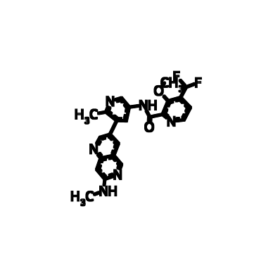 CNc1cc2ncc(-c3cc(NC(=O)c4nccc(C(F)F)c4OC)cnc3C)cc2cn1